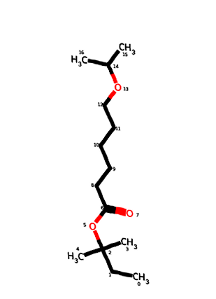 CCC(C)(C)OC(=O)CCCCCOC(C)C